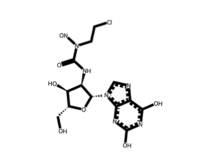 O=NN(CCCl)C(=O)N[C@@H]1[C@H](O)[C@@H](CO)O[C@H]1n1cnc2c(O)nc(O)nc21